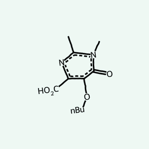 CCCCOc1c(C(=O)O)nc(C)n(C)c1=O